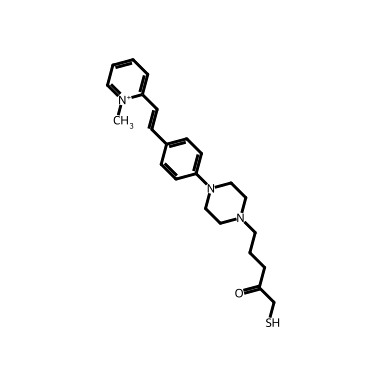 C[n+]1ccccc1/C=C/c1ccc(N2CCN(CCCC(=O)CS)CC2)cc1